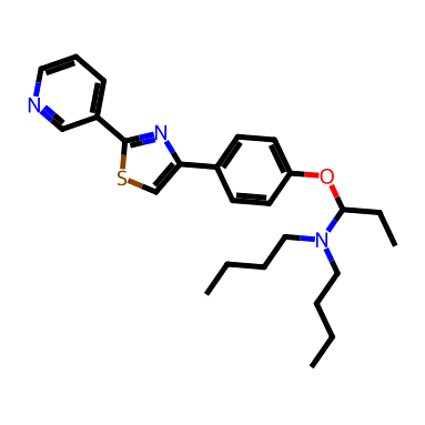 CCCCN(CCCC)C(CC)Oc1ccc(-c2csc(-c3cccnc3)n2)cc1